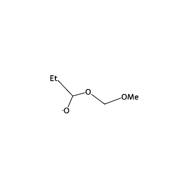 CCC([O])OCOC